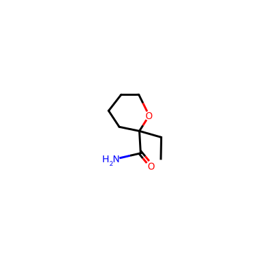 CCC1(C(N)=O)CCCCO1